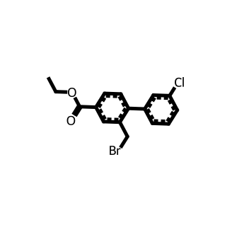 CCOC(=O)c1ccc(-c2cccc(Cl)c2)c(CBr)c1